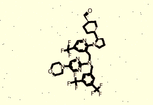 O=C[C@H]1CC[C@H]([C@H]2CCCN2c2ncc(C(F)(F)F)cc2CN(Cc2cc(C(F)(F)F)cc(C(F)(F)F)c2)c2ncc(N3CCOCC3)cn2)CC1